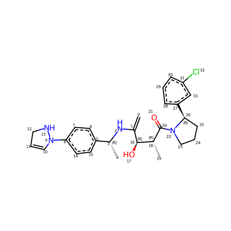 C=C(N[C@H](C)c1ccc(N2C=CCN2)cc1)[C@H](O)[C@@H](C)C(=O)N1CCC[C@@H]1c1cccc(Cl)c1